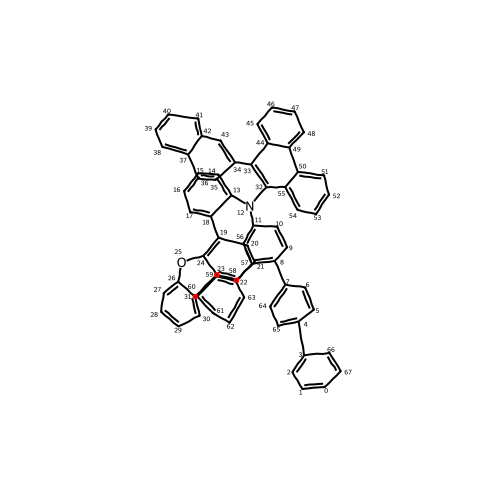 c1ccc(-c2ccc(-c3ccc(N(c4ccccc4-c4cccc5c4oc4ccccc45)c4c(-c5ccc6ccccc6c5)c5ccccc5c5ccccc45)cc3-c3ccccc3)cc2)cc1